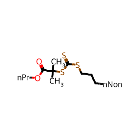 CCCCCCCCCCCCSC(=S)SC(C)(C)C(=O)OCCC